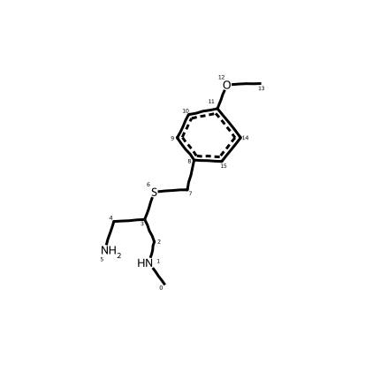 CNCC(CN)SCc1ccc(OC)cc1